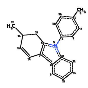 Cc1ccc(-n2c3c(c4ccccc42)C=CC(C)C3)cc1